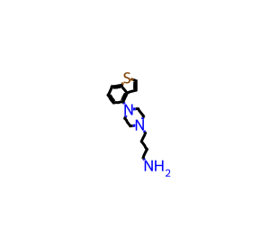 NCCCCN1CCN(c2cccc3sccc23)CC1